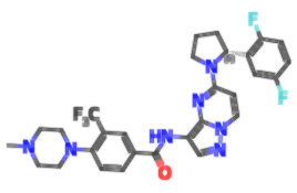 CN1CCN(c2ccc(C(=O)Nc3cnn4ccc(N5CCC[C@@H]5c5cc(F)ccc5F)nc34)cc2C(F)(F)F)CC1